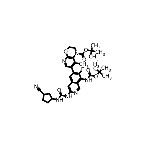 Cc1c(-c2cc3cc(NC(=O)NC4CCC(C#N)C4)ncc3c(NC(=O)OC(C)(C)C)c2F)cnc2c1N(C(=O)OC(C)(C)C)CCO2